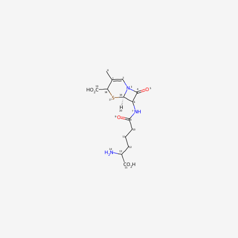 CC1=CN2C(=O)C(NC(=O)CCCC(N)C(=O)O)[C@H]2SC1C(=O)O